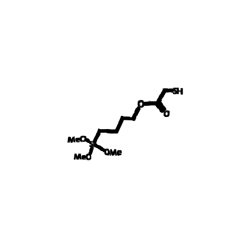 CO[Si](CCCCOC(=O)CS)(OC)OC